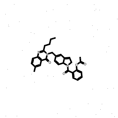 CCCCc1nc2ccc(C)cc2c(=O)n1CC1=CC2=CCN(C(=O)c3ccccc3OC(C)=O)C2C=C1